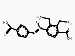 CCc1c(C(=O)O)ccc([N+]([O-])=Nc2ccc(C(=O)O)cc2)c1CC